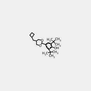 CC(C)(C)c1cc(C2OCC(CC3CCC3)CO2)cc(C(C)(C)C)c1O